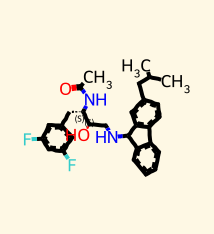 CC(=O)N[C@@H](Cc1cc(F)cc(F)c1)[C@@H](O)CNC1c2ccccc2-c2ccc(CC(C)C)cc21